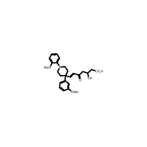 COc1cccc(C2(C=CC(=O)CC(O)CC(=O)O)CCN(c3ccccc3OC)CC2)c1